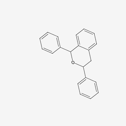 c1ccc(C2Cc3ccccc3C(c3ccccc3)O2)cc1